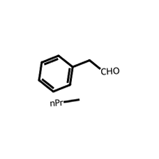 CCCC.O=CCc1ccccc1